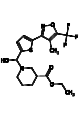 CCOC(=O)[C@@H]1CCCN(C(O)c2ccc(-c3noc(C(F)(F)F)c3C)s2)C1